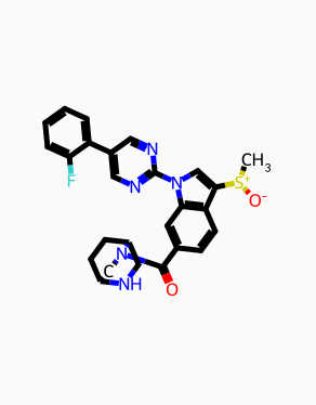 C[S+]([O-])c1cn(-c2ncc(-c3ccccc3F)cn2)c2cc(C(=O)N3CC4CCC3CN4)ccc12